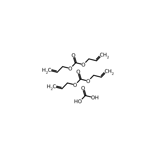 C=CCOC(=O)OCC=C.C=CCOC(=O)OCC=C.O=C(O)O